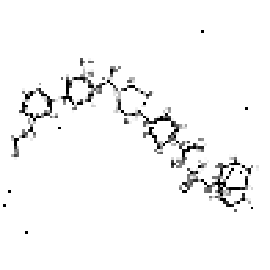 CCOc1cccc(-c2ccc(C(C)N3CCN(c4ccc(C(=O)NS(=O)(=O)CC56CC7CC(CC(C7)C5)C6)cc4)CC3)c(F)c2)c1